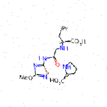 COc1nsc(NC(=O)CN[C@@H](CC(C)C)C(=O)O)n1.O=C(O)[C@@H]1CCCN1